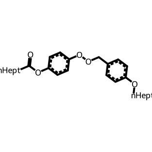 [CH2+][CH-]CCCCCC(=O)Oc1ccc(OOCc2ccc(OCCCCCCC)cc2)cc1